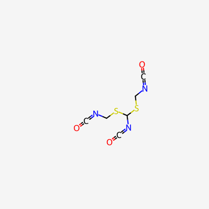 O=C=NCSC(N=C=O)SCN=C=O